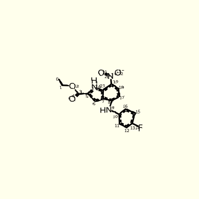 CCOC(=O)c1cc2c(Nc3ccc(F)cc3)ccc([N+](=O)[O-])c2[nH]1